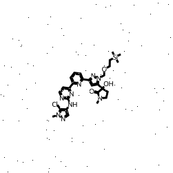 CN1CCC(O)(c2cc(-c3cccc(-c4ccnc(Nc5cnn(C)c5Cl)n4)n3)nn2COCC[Si](C)(C)C)C1=O